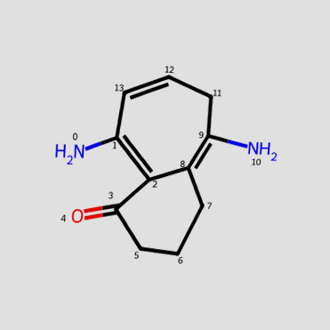 NC1=C2C(=O)CCCC2=C(N)CC=C1